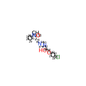 CN(C(=O)CCCN1CCN(CC(O)COc2ccc(Cl)cc2)CC1)c1ccccc1